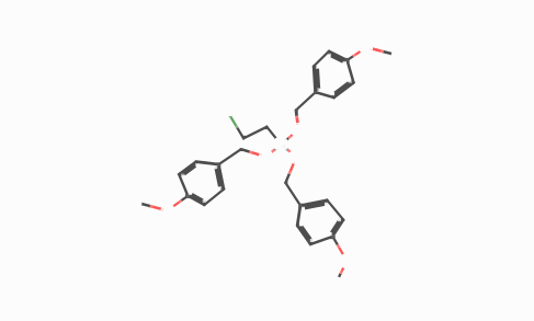 COc1ccc(CO[Si](CCCl)(OCc2ccc(OC)cc2)OCc2ccc(OC)cc2)cc1